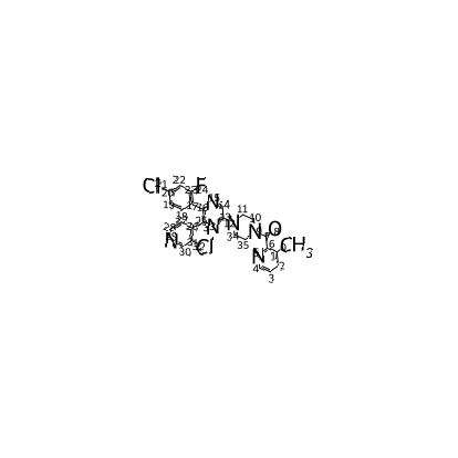 Cc1cccnc1C(=O)N1CCN(c2cnc(-c3ccc(Cl)cc3F)c(-c3ccncc3Cl)n2)CC1